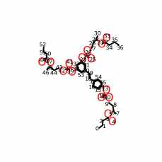 CCCC(=O)OC(C)CCOC(=O)Oc1ccc(/C=C/c2cc(OC(=O)OCCC(C)OC(=O)CCC)cc(OC(=O)OCCC(C)OC(=O)CCC)c2)cc1